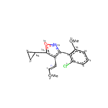 CO/C=C/c1c(-c2c(Cl)cccc2OC)noc1C1CC1